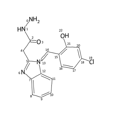 NNC(=O)CC1=Nc2ccccc2[N+]1=Cc1ccc(Cl)cc1O